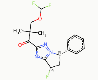 CC(C)(COC(F)F)C(=O)c1nc2n(n1)[C@H](c1ccccc1)C[C@@H]2F